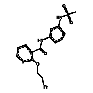 CC(C)CCOc1ncccc1C(=O)Nc1cccc(NS(C)(=O)=O)c1